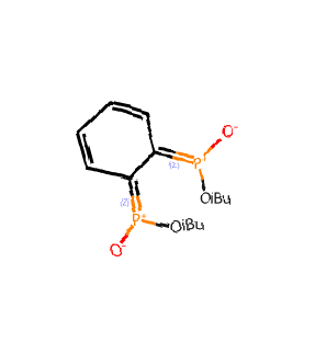 CC(C)CO/[P+]([O-])=C1/C=CC=C/C1=[P+](\[O-])OCC(C)C